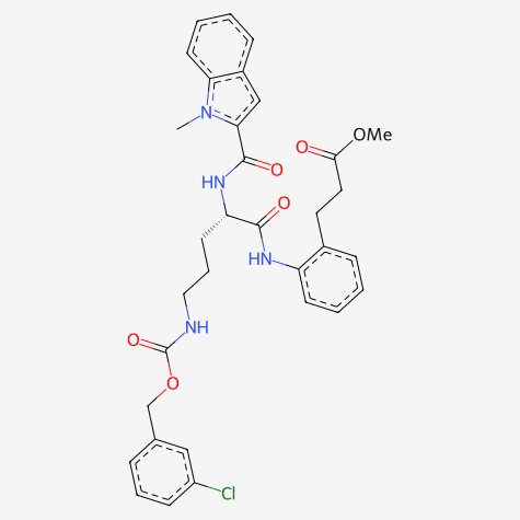 COC(=O)CCc1ccccc1NC(=O)[C@H](CCCNC(=O)OCc1cccc(Cl)c1)NC(=O)c1cc2ccccc2n1C